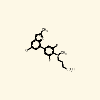 Cc1cc2cc(Cl)cc(-c3cc(F)c(N(C)CCCC(=O)O)c(F)c3)c2o1